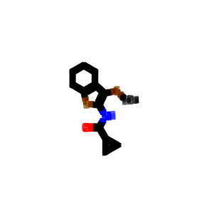 CCCCSc1c(NC(=O)C2CC2)sc2c1CCCC2